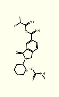 CNC(=O)O[C@@H]1CCCCC1N1Cc2ccc(C(=N)OC(=N)C(C)F)cc2C1=O